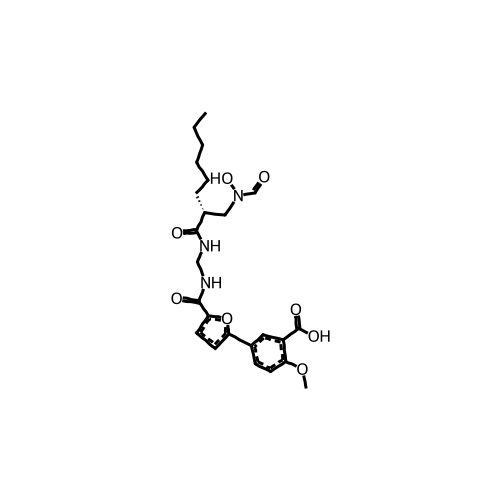 CCCCCC[C@H](CN(O)C=O)C(=O)NCNC(=O)c1ccc(-c2ccc(OC)c(C(=O)O)c2)o1